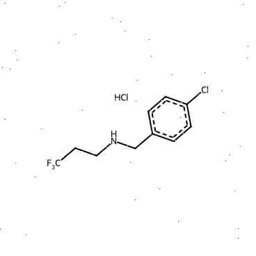 Cl.FC(F)(F)CCNCc1ccc(Cl)cc1